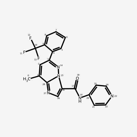 Cc1cc(-c2ccccc2C(F)(F)F)nn2c(C(=O)Nc3ccncc3)cnc12